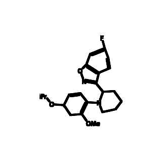 COC1=C(N2CCCCC2c2noc3cc(F)ccc23)C=C[C](OC(C)C)C1